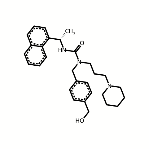 C[C@H](NC(=O)N(CCCN1CCCCC1)Cc1ccc(CO)cc1)c1cccc2ccccc12